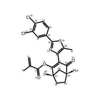 C=C(C)C(=O)OC1=C(c2nc(-c3ccc(Cl)c(Cl)c3)sc2C)C(=O)[C@@H]2CC[C@H]1C2